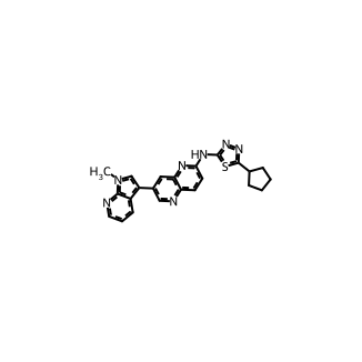 Cn1cc(-c2cnc3ccc(Nc4nnc(C5CCCC5)s4)nc3c2)c2cccnc21